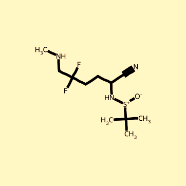 CNCC(F)(F)CCC(C#N)N[S+]([O-])C(C)(C)C